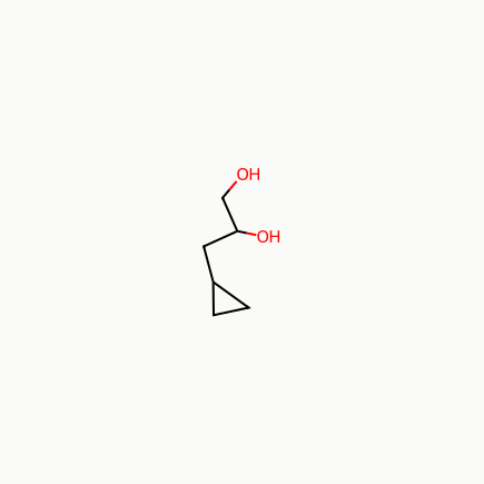 OCC(O)CC1CC1